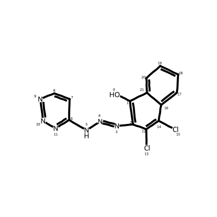 Oc1c(N=NNc2ccnnn2)c(Cl)c(Cl)c2ccccc12